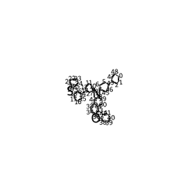 c1ccc(-c2ccc(N(c3cccc(-c4cccc5sc6ccccc6c45)c3)c3ccc4c(ccc5oc6ccccc6c54)c3)cc2)cc1